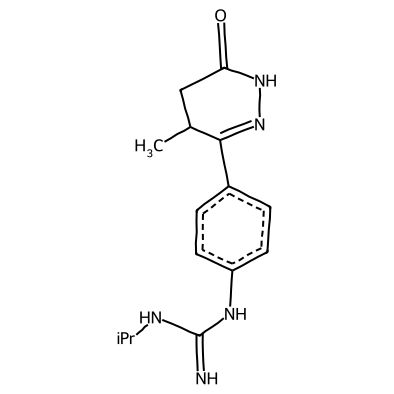 CC(C)NC(=N)Nc1ccc(C2=NNC(=O)CC2C)cc1